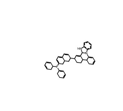 C1=CCCC(P(C2=CC=C3C=CC(C4C=C5C(CC4)C4CC=CC=C4N4c6ccccc6NC54)CC3C2)C2C=CC=CC2)=C1